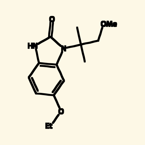 CCOc1ccc2[nH]c(=O)n(C(C)(C)COC)c2c1